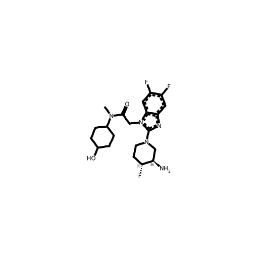 CN(C(=O)Cn1c(N2CC[C@@H](F)[C@H](N)C2)nc2cc(F)c(F)cc21)C1CCC(O)CC1